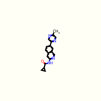 Cc1cnc(-c2ccc3cc(NC(=O)C4CC4)ncc3c2)cn1